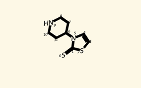 S=c1sccn1C1CCNCC1